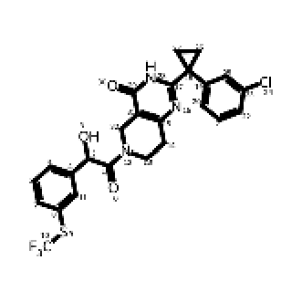 O=C(C(O)c1cccc(SC(F)(F)F)c1)N1CCc2nc(C3(c4cccc(Cl)c4)CC3)[nH]c(=O)c2C1